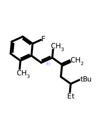 C=C(CC(CC)C(C)(C)C)/C(C)=C/c1c(C)cccc1F